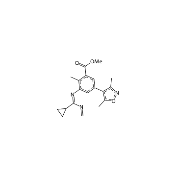 C=N/C(=N\c1cc(-c2c(C)noc2C)cc(C(=O)OC)c1C)C1CC1